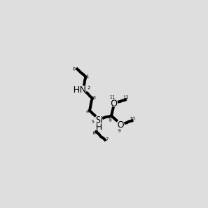 CCNCC[SiH](CC)C(OC)OC